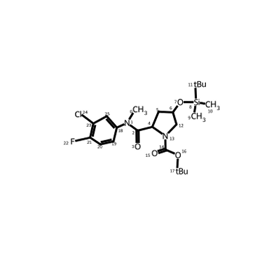 CN(C(=O)C1CC(O[Si](C)(C)C(C)(C)C)CN1C(=O)OC(C)(C)C)c1ccc(F)c(Cl)c1